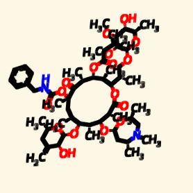 C=C1C[C@@H](C)O[C@@H](O[C@@H]2[C@@H](C)[C@H](O[C@H]3C[C@@H](C)N(C)C[C@H](C)O3)[C@@H](C)C(=O)O[C@H]([C@@H](C)CO[C@@H]3O[C@H](C)[C@@H](O)[C@@H](OC)[C@H]3OC)[C@H](C)[C@@H](OC(=O)CC(C)C)[C@@H](C)C(=O)[C@@](C)(OC(=O)NCc3ccccc3)C[C@@H]2C)[C@@H]1O